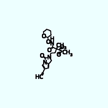 C#Cc1cc2n(c1)C(=O)N(CC[C@](C)(C(=O)NOC1CCCCO1)S(C)(=O)=O)C2